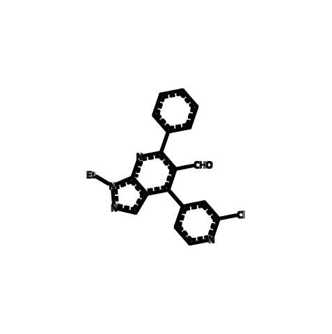 CCn1ncc2c(-c3ccnc(Cl)c3)c(C=O)c(-c3ccccc3)nc21